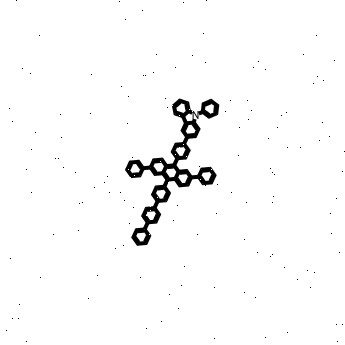 c1ccc(-c2ccc(-c3ccc(-c4c5ccc(-c6ccccc6)cc5c(-c5ccc(-c6ccc7c(c6)c6ccccc6n7-c6ccccc6)cc5)c5ccc(-c6ccccc6)cc45)cc3)cc2)cc1